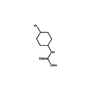 COC(=O)NC1CCC(C(C)C)CC1